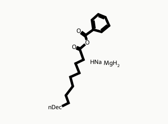 CCCCCCCCCCCCCCCCCC(=O)OC(=O)c1ccccc1.[MgH2].[NaH]